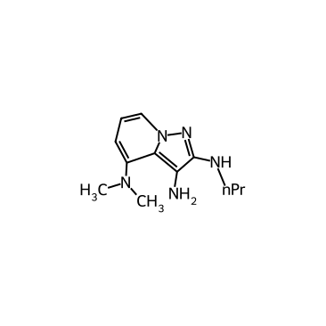 [CH2]CCNc1nn2cccc(N(C)C)c2c1N